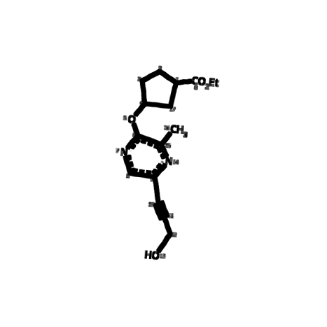 CCOC(=O)C1CCC(Oc2ncc(C#CCO)nc2C)C1